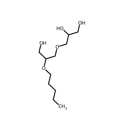 CCCCCOC(CO)COCC(O)CO